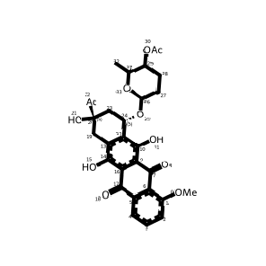 COc1cccc2c1C(=O)c1c(O)c3c(c(O)c1C2=O)C[C@@](O)(C(C)=O)C[C@@H]3OC1CCC(OC(C)=O)C(C)O1